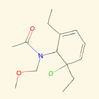 CCC1=CC=CC(Cl)(CC)C1N(COC)C(C)=O